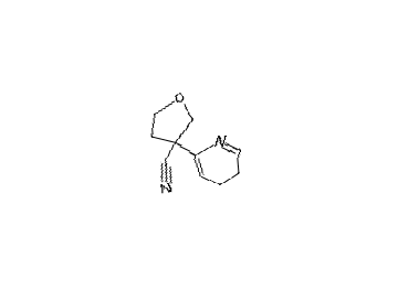 N#CC1(C2=CCCC=N2)CCOC1